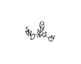 C1=CN(c2cccc(-c3nc(N4CCOCC4)c4sc(-c5cccnc5)cc4n3)c2)CS1